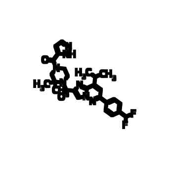 CC(C)c1cc(-c2ccc(C(F)F)cc2)nn2cc(C(=O)N3CCN(C(=O)c4ccn[nH]4)CC3(C)C)nc12